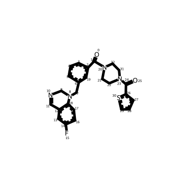 O=C(c1cccc(CN2CN=Cc3cc(F)ccc32)c1)N1CCN(C(=O)c2cccs2)CC1